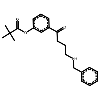 CC(C)(C)C(=O)Oc1cccc(C(=O)CCCNCc2ccccc2)c1